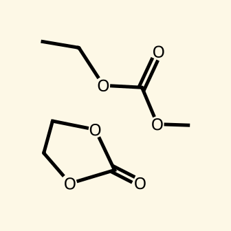 CCOC(=O)OC.O=C1OCCO1